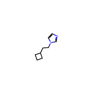 [c]1cn(CCC2CCC2)cn1